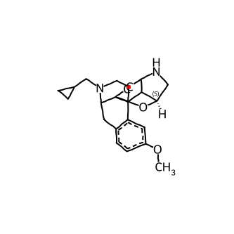 COc1ccc2c(c1)C13CCN(CC4CC4)C(C2)C12CCC1NC[C@@H](O2)C13